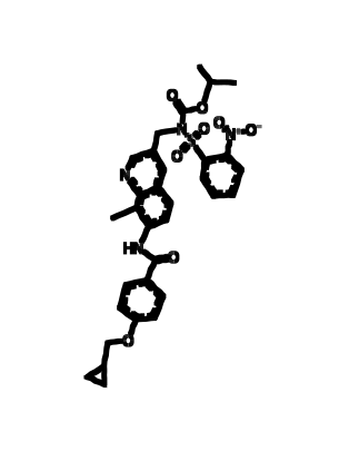 Cc1c(NC(=O)c2ccc(OCC3CC3)cc2)ccc2cc(CN(C(=O)OC(C)C)S(=O)(=O)c3ccccc3[N+](=O)[O-])cnc12